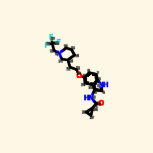 O=C(Nc1c[nH]c2ccc(OCCC3CCCN(CC(F)(F)F)C3)cc12)C1CC1